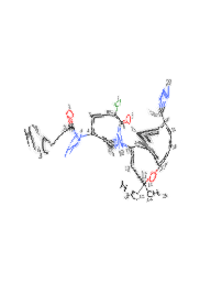 CC(=O)Nc1cc(Cl)c(=O)n(C2=CC(C)(C)Oc3ccc(C#N)cc32)c1